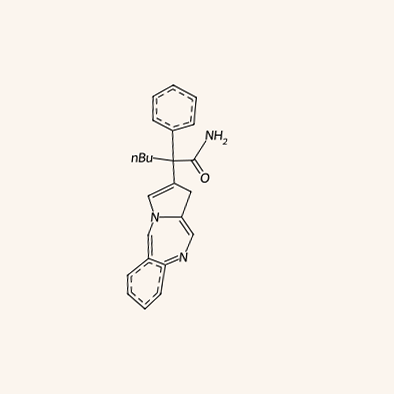 CCCCC(C(N)=O)(C1=CN2C=c3ccccc3=NC=C2C1)c1ccccc1